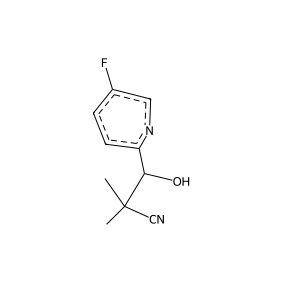 CC(C)(C#N)C(O)c1ccc(F)cn1